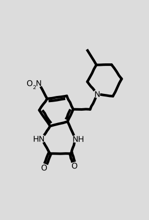 CC1CCCN(Cc2cc([N+](=O)[O-])cc3[nH]c(=O)c(=O)[nH]c23)C1